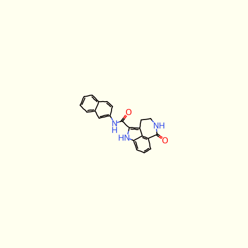 O=C(Nc1ccc2ccccc2c1)c1[nH]c2cccc3c2c1CCNC3=O